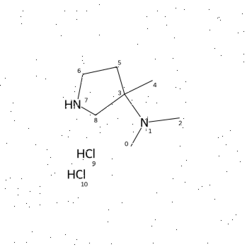 CN(C)C1(C)CCNC1.Cl.Cl